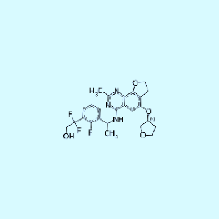 Cc1nc(NC(C)c2cccc(C(F)(F)CO)c2F)c2cc(O[C@H]3CCOC3)c3c(c2n1)OCC3